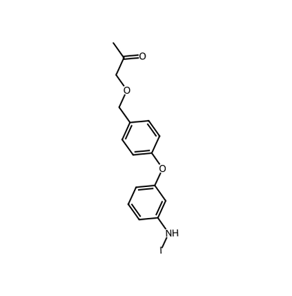 CC(=O)COCc1ccc(Oc2cccc(NI)c2)cc1